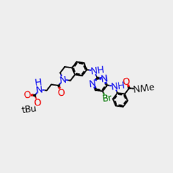 CNC(=O)c1ccccc1Nc1nc(Nc2ccc3c(c2)CN(C(=O)CCNC(=O)OC(C)(C)C)CC3)ncc1Br